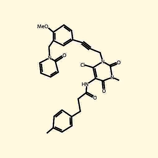 COc1ccc(C#CCn2c(Cl)c(NC(=O)CCc3ccc(C)cc3)c(=O)n(C)c2=O)cc1Cn1ccccc1=O